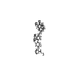 CCCC1CCC(c2ccc(CCc3cc(F)c4c(F)c(F)c(F)cc4c3)c(F)c2F)CC1